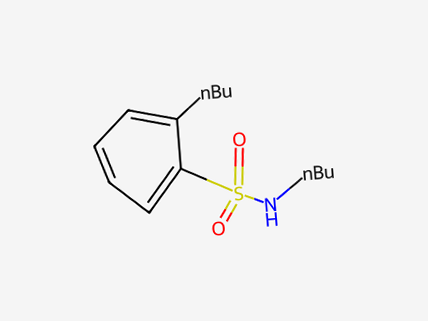 CCCCNS(=O)(=O)c1ccccc1CCCC